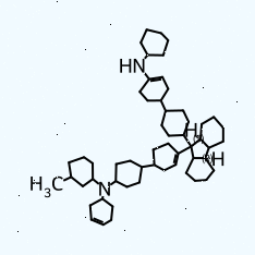 CC1CCCC(N(C2CC=CCC2)C2CCC(C3CC=C(C4(C5CCC(C6CC=C(NC7CCCCC7)CC6)CC5)C5CCCC[C@@H]5C5CCCC[C@@H]54)CC3)CC2)C1